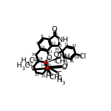 COC1([C@@H]2NC(=O)c3ccc4c(c32)O[C@@]23C[C@@H](N)C(=O)C(C)(C)[C@@H]2CC[C@H](C)[C@@]3(C)C4)C=CC(Cl)=CC1